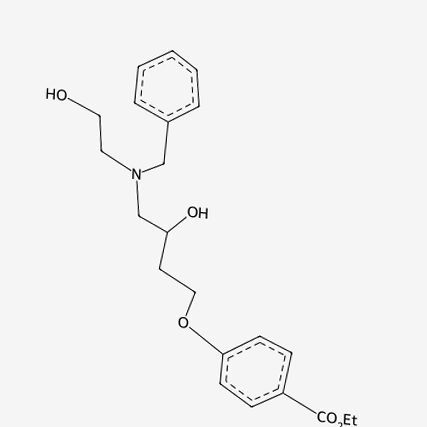 CCOC(=O)c1ccc(OCCC(O)CN(CCO)Cc2ccccc2)cc1